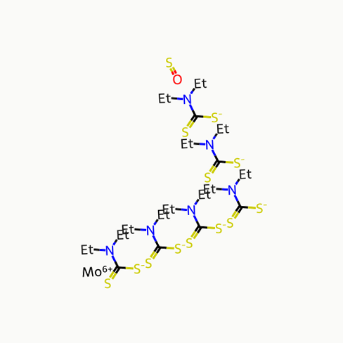 CCN(CC)C(=S)[S-].CCN(CC)C(=S)[S-].CCN(CC)C(=S)[S-].CCN(CC)C(=S)[S-].CCN(CC)C(=S)[S-].CCN(CC)C(=S)[S-].O=S.[Mo+6]